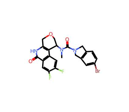 CN(C(=O)N1Cc2ccc(Br)cc2C1)C1COCc2[nH]c(=O)c3cc(F)c(F)cc3c21